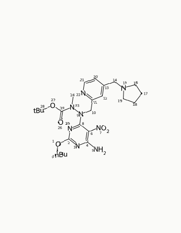 CCCCOc1nc(N)c([N+](=O)[O-])c(N(Cc2cc(CN3CCCC3)ccn2)N(C)C(=O)OC(C)(C)C)n1